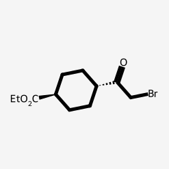 CCOC(=O)[C@H]1CC[C@H](C(=O)CBr)CC1